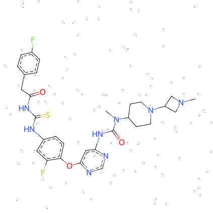 CN1CC(N2CCC(N(C)C(=O)Nc3cc(Oc4ccc(NC(=S)NC(=O)Cc5ccc(F)cc5)cc4F)ncn3)CC2)C1